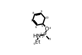 CCNP(C)OC1C=CC=CC1